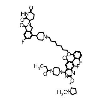 CCC(=O)N1CCN(c2nc(OC[C@@H]3CCCN3C)nc3c(F)c(-c4c(F)cccc4OCCCCCCCN4CCC(c5cc(F)cc6c5CN(C5CCC(=O)NC5=O)C6=O)CC4)c(Cl)cc23)CC1